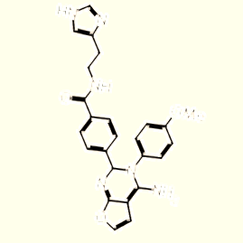 COc1ccc(N2C(N)=c3ccoc3=NC2c2ccc(C(=O)NCCc3c[nH]cn3)cc2)cc1